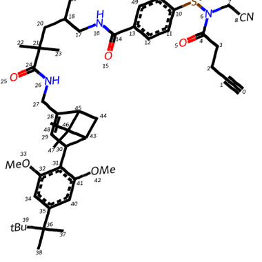 C#CCCC(=O)N(CC#N)Sc1ccc(C(=O)NCC(C)CC(C)(C)C(=O)NCC2=CC(c3c(OC)cc(C(C)(C)C(C)(C)C)cc3OC)C3CC2C3(C)C)cc1